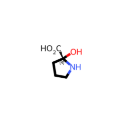 O=C(O)[C@]1(O)CCCN1